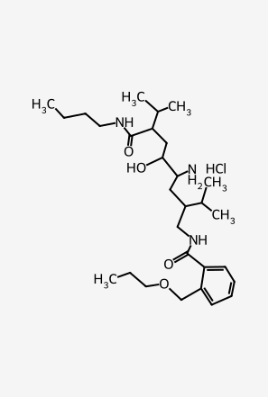 CCCCNC(=O)C(CC(O)C(N)CC(CNC(=O)c1ccccc1COCCC)C(C)C)C(C)C.Cl